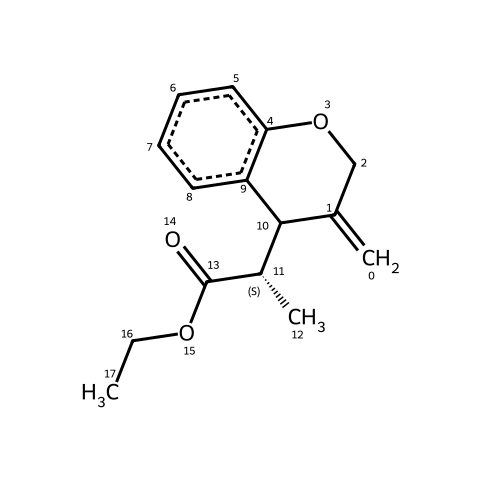 C=C1COc2ccccc2C1[C@H](C)C(=O)OCC